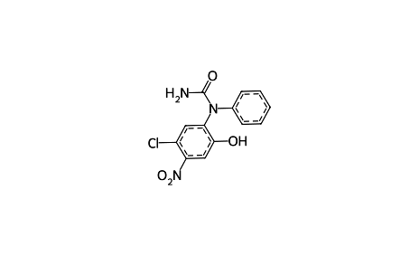 NC(=O)N(c1ccccc1)c1cc(Cl)c([N+](=O)[O-])cc1O